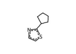 c1csc(C2CCCC2)n1